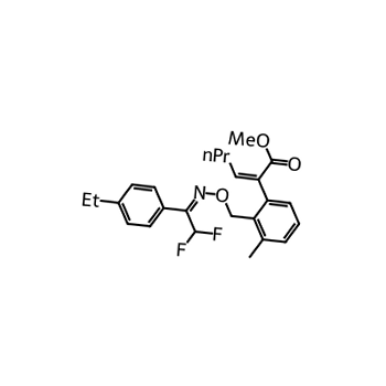 CCC/C=C(\C(=O)OC)c1cccc(C)c1CO/N=C(/c1ccc(CC)cc1)C(F)F